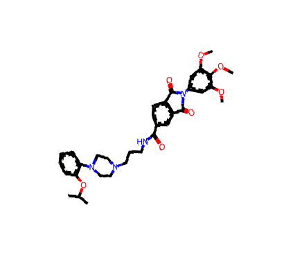 COc1cc(N2C(=O)c3ccc(C(=O)NCCCN4CCN(c5ccccc5OC(C)C)CC4)cc3C2=O)cc(OC)c1OC